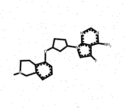 CN1CCc2c(cccc2OC2CCC(n3cc(F)c4c(N)ncnc43)C2)C1